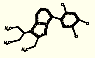 CCc1nc2c(-c3cc(Cl)c(Cl)cc3Cl)cccc2n1C(CC)CC